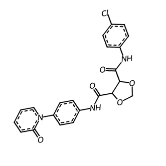 O=C(Nc1ccc(Cl)cc1)C1OCOC1C(=O)Nc1ccc(-n2ccccc2=O)cc1